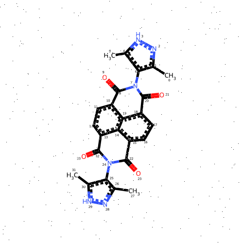 Cc1n[nH]c(C)c1N1C(=O)c2ccc3c4c(ccc(c24)C1=O)C(=O)N(c1c(C)n[nH]c1C)C3=O